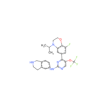 CC(C)N1CCOc2c(F)cc(-c3nc(Nc4ccc5c(c4)CCNC5)ncc3OC(F)(F)F)cc21